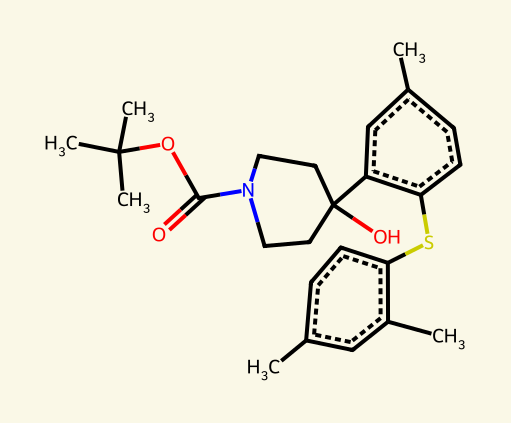 Cc1ccc(Sc2ccc(C)cc2C2(O)CCN(C(=O)OC(C)(C)C)CC2)c(C)c1